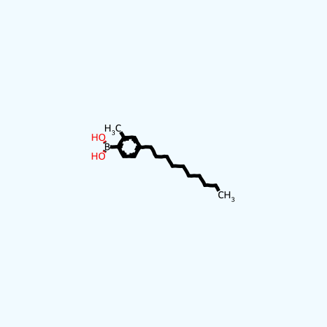 CCCCCCCCCCc1ccc(B(O)O)c(C)c1